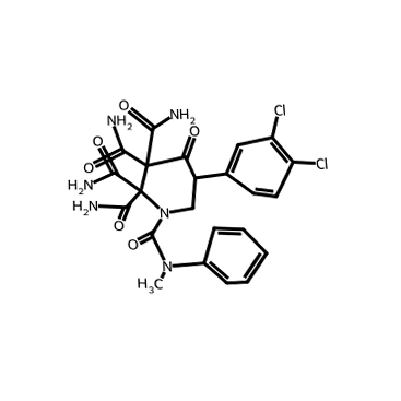 CN(C(=O)N1CC(c2ccc(Cl)c(Cl)c2)C(=O)C(C(N)=O)(C(N)=O)C1(C(N)=O)C(N)=O)c1ccccc1